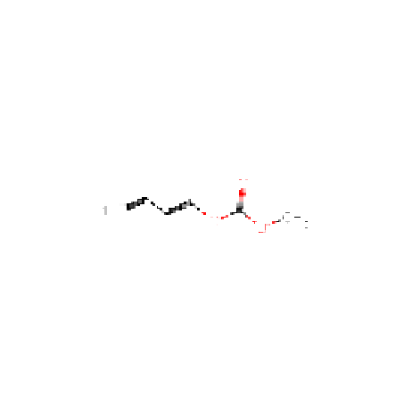 [CH]=CC=COC(=O)OC